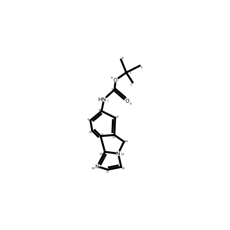 CC(C)(C)OC(=O)Nc1ccc2c(c1)Cn1ccnc1-2